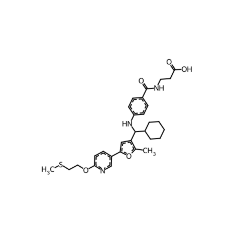 CSCCOc1ccc(-c2cc(C(Nc3ccc(C(=O)NCCC(=O)O)cc3)C3CCCCC3)c(C)o2)cn1